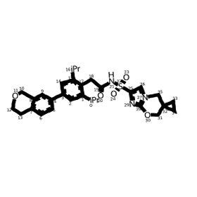 CC(C)c1cc(-c2ccc3c(c2)COCC3)cc(C(C)C)c1CC(=O)NS(=O)(=O)c1cn2c(n1)OCC1(CC1)C2